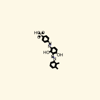 Cc1cccc(/N=N/c2c(O)ccc(/N=N/c3ccc(S(=O)(=O)O)cc3)c2O)c1C